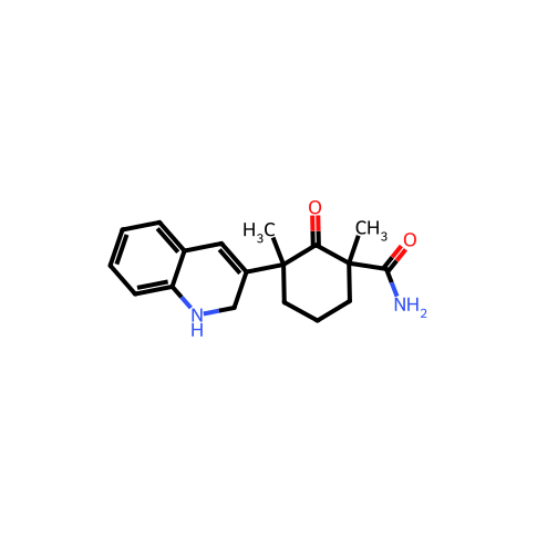 CC1(C(N)=O)CCCC(C)(C2=Cc3ccccc3NC2)C1=O